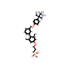 CCOC(=O)CC1(c2ccc(OCc3cccc(-c4c(C)cc(OCCCS(C)(=O)=O)cc4C)c3)cc2)CNC1